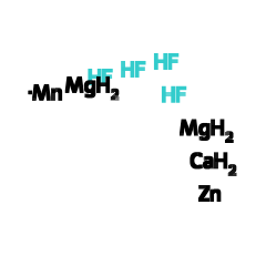 F.F.F.F.[CaH2].[MgH2].[MgH2].[Mn].[Zn]